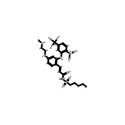 CCCCCS(=O)(=O)NC(=O)C=Cc1ccc(OCCOC)cc1Oc1cc(C(F)(F)F)ccc1[N+](=O)[O-]